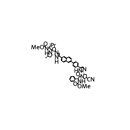 COC(=O)NC(C(=O)N1C[C@H](C)C[C@H]1c1ncc(-c2ccc3cc(-c4ccc(-c5cnc([C@@H]6CC(C#N)CN6C(=O)[C@H](NC(=O)OC)c6ccccc6)[nH]5)cc4)ccc3c2)[nH]1)C(C)C